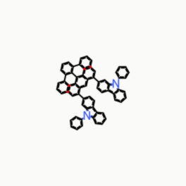 c1ccc(-c2cccc(-c3ccccc3)c2-c2c3cccc(-c4ccc5c6ccccc6n(-c6ccccc6)c5c4)c3cc3c(-c4ccc5c6ccccc6n(-c6ccccc6)c5c4)cccc23)cc1